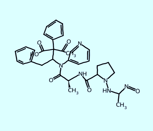 CC(=O)C(C(=O)O)(c1ccccc1)C(Cc1ccccc1)N(C(=O)[C@H](C)NC(=O)C1CCCN1NC(C)N=O)c1cccnc1